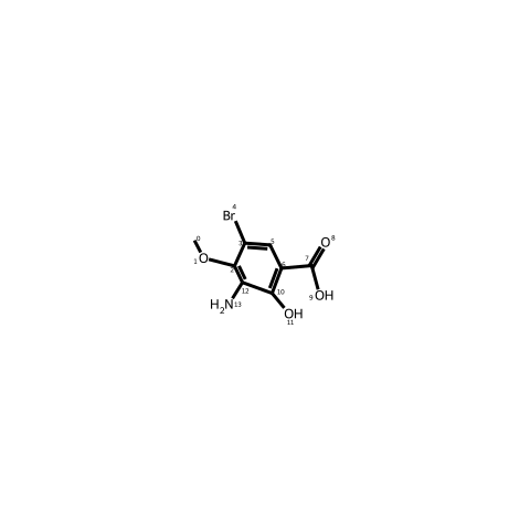 COc1c(Br)cc(C(=O)O)c(O)c1N